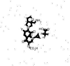 NCC12CN(c3c(F)cc4c(=O)c(OC(=O)O)cn(C5CC5)c4c3Cl)CC1CCO2.O=C(O)C(F)(F)F